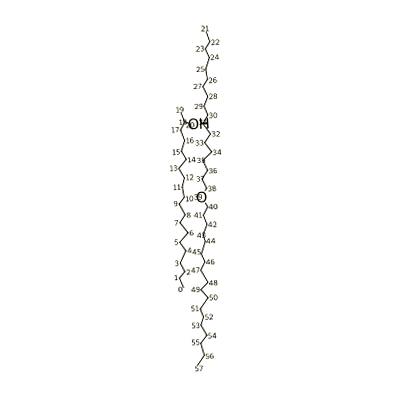 CCCCCCCCCCCCCCCCCCC(C)O.CCCCCCCCCCCCCCCCCCOCCCCCCCCCCCCCCCCCC